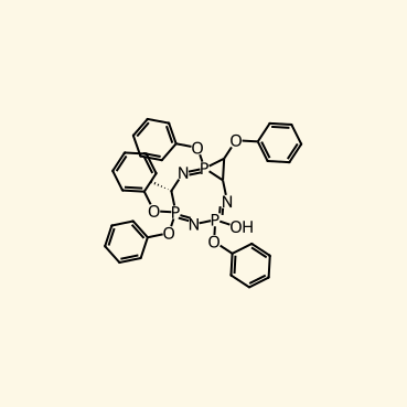 C[C@@H]1N=P2(Oc3ccccc3)C(N=P(O)(Oc3ccccc3)N=P1(Oc1ccccc1)Oc1ccccc1)C2Oc1ccccc1